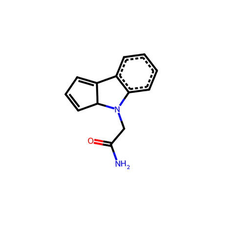 NC(=O)CN1c2ccccc2C2=CC=CC21